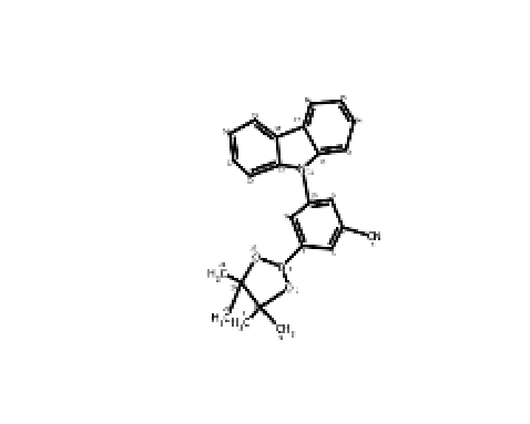 CC1(C)OB(c2cc(C#N)cc(-n3c4ccccc4c4ccccc43)c2)OC1(C)C